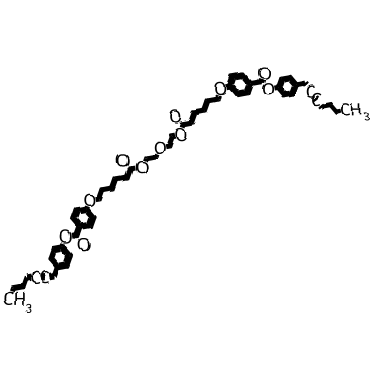 CCCC=C=C=Cc1ccc(OC(=O)c2ccc(OCCCCCC(=O)OCCOCCOC(=O)CCCCCOc3ccc(C(=O)Oc4ccc(C=C=C=CCCC)cc4)cc3)cc2)cc1